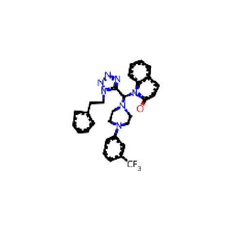 O=c1ccc2ccccc2n1C(c1nnnn1CCc1ccccc1)N1CCN(c2cccc(C(F)(F)F)c2)CC1